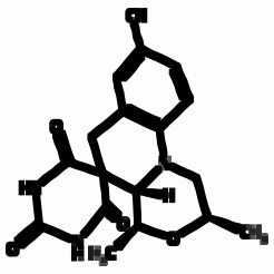 C[C@@H]1CN2c3ccc(C#N)cc3CC3(C(=O)NC(=O)NC3=O)[C@H]2[C@H](C)O1